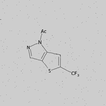 CC(=O)n1ncc2sc(C(F)(F)F)cc21